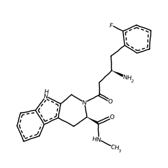 CNC(=O)[C@H]1Cc2c([nH]c3ccccc23)CN1C(=O)C[C@H](N)Cc1ccccc1F